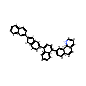 C1=C(c2ccc3ccccc3c2)Cc2ccc(-c3ccc(-c4ccc5ccc6cccnc6c5c4)c4ccccc34)cc21